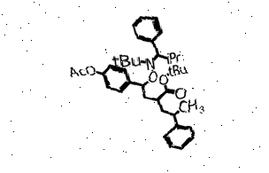 CC(=O)Oc1ccc(C(CC(CC(C)c2ccccc2)C(=O)OC(C)(C)C)ON(C(c2ccccc2)C(C)C)C(C)(C)C)cc1